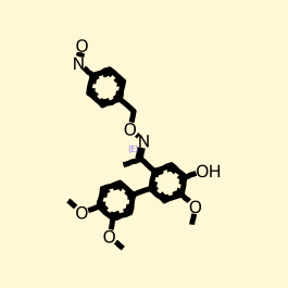 COc1cc(-c2ccc(OC)c(OC)c2)c(/C(C)=N/OCc2ccc(N=O)cc2)cc1O